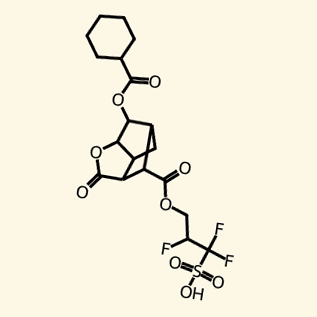 O=C(OC1C2CC3C1OC(=O)C3C2C(=O)OCC(F)C(F)(F)S(=O)(=O)O)C1CCCCC1